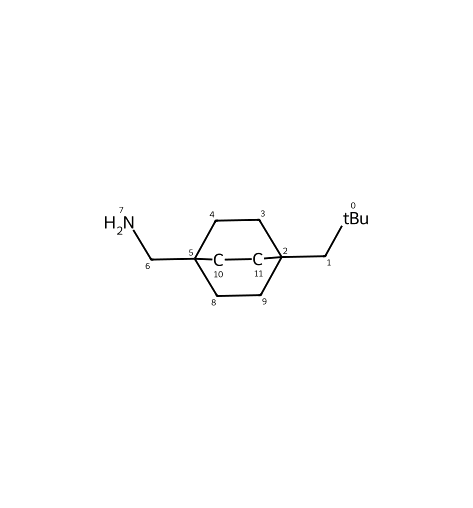 CC(C)(C)CC12CCC(CN)(CC1)CC2